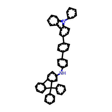 c1ccc(-n2c3ccccc3c3cc(-c4ccc(-c5ccc(Nc6ccc7c(c6)C(c6ccccc6)(c6ccccc6)c6ccccc6-7)cc5)cc4)ccc32)cc1